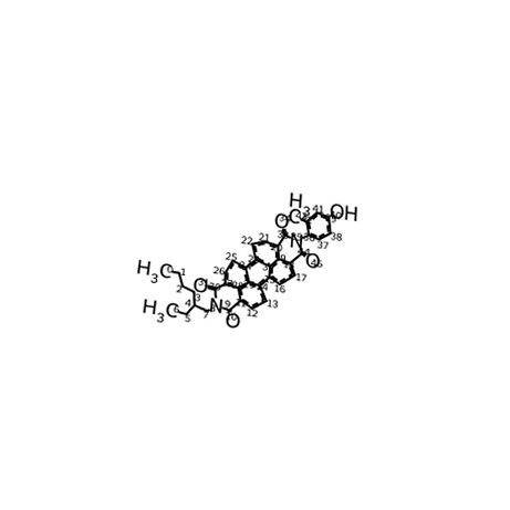 CCCCC(CC)CN1C(=O)c2ccc3c4ccc5c6c(ccc(c7ccc(c2c37)C1=O)c64)C(=O)N(c1ccc(O)cc1C)C5=O